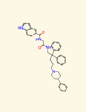 O=C(CNC(=O)c1ccc2[nH]ccc2c1)NCC(CCCN1CCC(c2ccccc2)CC1)(c1ccccc1)c1ccccc1